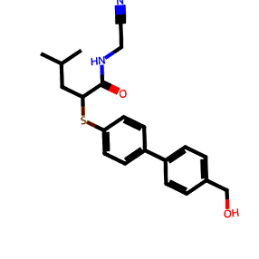 CC(C)CC(Sc1ccc(-c2ccc(CO)cc2)cc1)C(=O)NCC#N